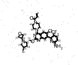 C=CC(=O)N1CCN(c2nc(OC[C@@H]3CC(C)CN3C3COC3)nc3cc(-c4nc(N)ccc4C(F)(F)F)c(Cl)cc23)CC1